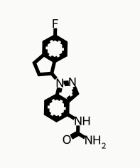 NC(=O)Nc1cccc2c1cnn2C1CCc2cc(F)ccc21